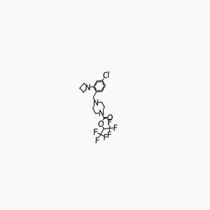 O=C(OC(C(F)(F)F)C(F)(F)F)N1CCN(Cc2ccc(Cl)cc2N2CCC2)CC1